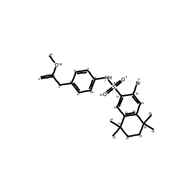 C=C(Cc1ccc(NS(=O)(=O)c2cc3c(cc2Br)C(C)(C)CCC3(C)C)cc1)OC